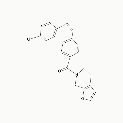 O=C(c1ccc(/C=C\c2ccc(Cl)cc2)cc1)N1CCc2ccoc2C1